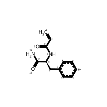 C=CC(=O)N[C@@H](Cc1ccccc1)C(N)=O